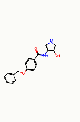 O=C(NC1CNCC1O)c1ccc(OCc2ccccc2)cc1